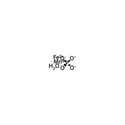 O.O=P([O-])([O-])[O-].[Fe+2].[Mn+2]